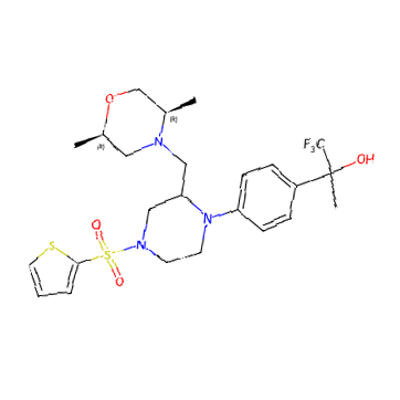 C[C@@H]1CN(CC2CN(S(=O)(=O)c3cccs3)CCN2c2ccc(C(C)(O)C(F)(F)F)cc2)[C@H](C)CO1